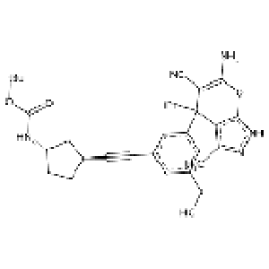 Cc1n[nH]c2c1C(c1cc(C#C[C@H]3CC[C@H](NC(=O)OC(C)(C)C)C3)cc(CO)c1)(C(C)C)C(C#N)=C(N)O2